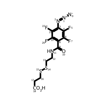 [N-]=[N+]=Nc1c(F)c(F)c(C(=O)NCCSSCCC(=O)O)c(F)c1F